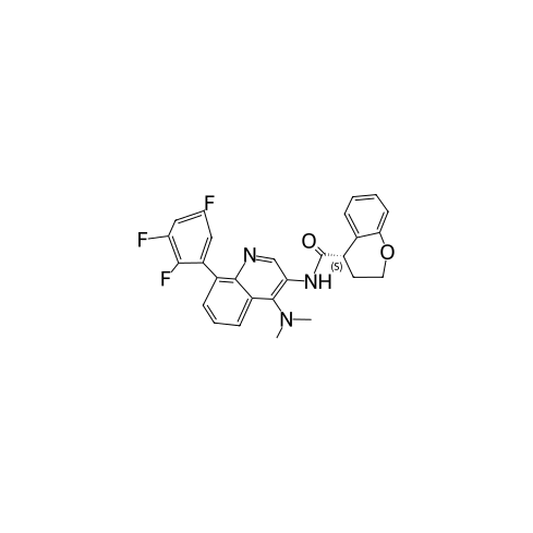 CN(C)c1c(NC(=O)[C@H]2CCOc3ccccc32)cnc2c(-c3cc(F)cc(F)c3F)cccc12